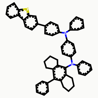 c1ccc(-c2c3c(c(N(c4ccccc4)c4ccc(N(c5ccccc5)c5ccc(-c6ccc7c(c6)sc6ccccc67)cc5)cc4)c4c2CCCC4)CCCC3)cc1